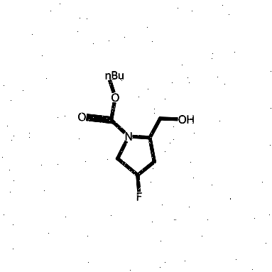 CCCCOC(=O)N1CC(F)CC1CO